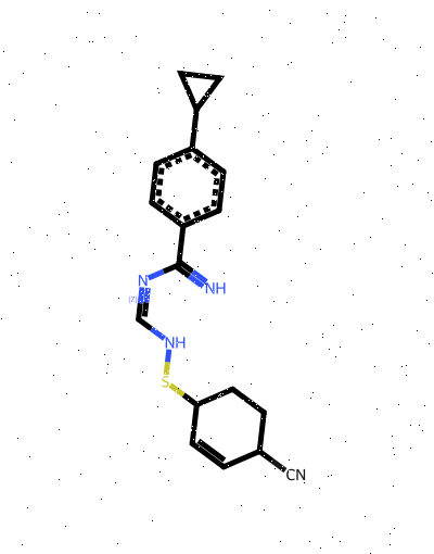 N#CC1C=CC(SN/C=N\C(=N)c2ccc(C3CC3)cc2)CC1